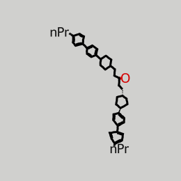 CCCc1ccc(-c2ccc(C3CCC(CCC(=O)CC[C@H]4CC[C@H](c5ccc(-c6ccc(CCC)cc6)cc5)CC4)CC3)cc2)cc1